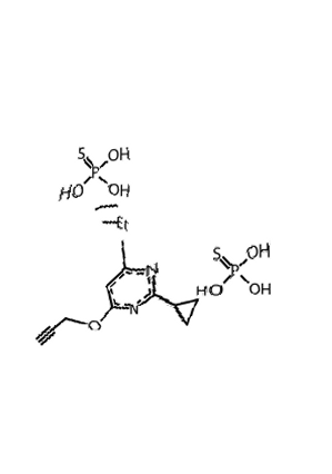 C#CCOc1cc(C)nc(C2CC2)n1.CC.CCC.OP(O)(O)=S.OP(O)(O)=S